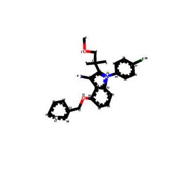 COCC(C)(C)c1c(I)c2c(OCc3ccccc3)cccc2n1-c1ccc(F)cc1